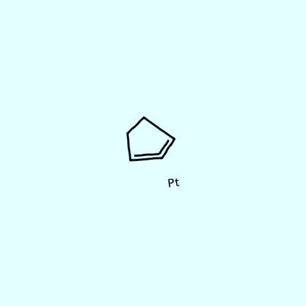 C1=CCCC=1.[Pt]